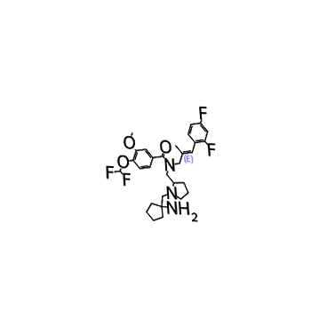 COc1cc(C(=O)N(C/C(C)=C/c2ccc(F)cc2F)CC2CCCN2CC2(N)CCCC2)ccc1OC(F)F